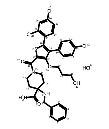 Cl.NC(=O)C1(NCc2ccccc2)CCN(C(=O)c2sc(-c3ccc(Cl)cc3Cl)c(-c3ccc(Cl)cc3)c2OCCCO)CC1